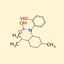 CC1CCC(C(C)C)C(N(C(=O)O)c2ccccc2O)C1